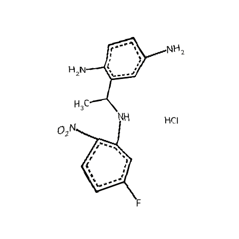 CC(Nc1cc(F)ccc1[N+](=O)[O-])c1cc(N)ccc1N.Cl